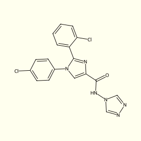 O=C(Nn1cnnc1)c1cn(-c2ccc(Cl)cc2)c(-c2ccccc2Cl)n1